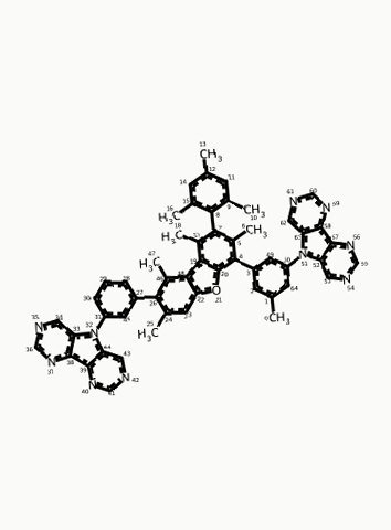 Cc1cc(-c2c(C)c(-c3c(C)cc(C)cc3C)c(C)c3c2oc2cc(C)c(-c4cccc(-n5c6cncnc6c6ncncc65)c4)c(C)c23)cc(-n2c3cncnc3c3ncncc32)c1